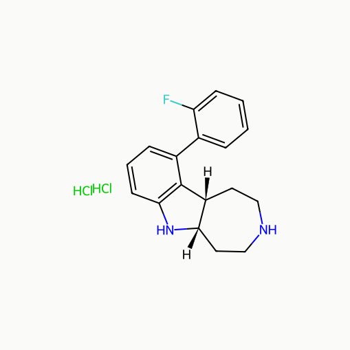 Cl.Cl.Fc1ccccc1-c1cccc2c1[C@@H]1CCNCC[C@@H]1N2